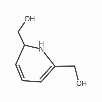 OCC1=CC=CC(CO)N1